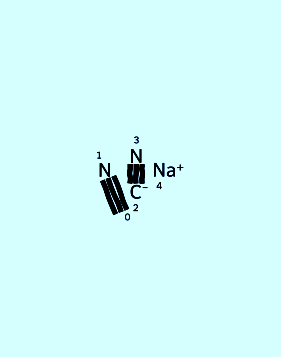 C#N.[C-]#N.[Na+]